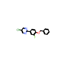 Fc1cc(-c2ncc(Cl)cn2)ccc1OCc1ccccc1